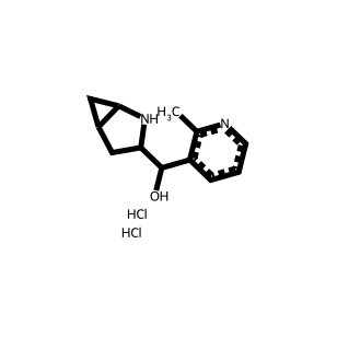 Cc1ncccc1C(O)C1CC2CC2N1.Cl.Cl